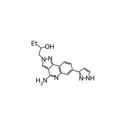 CCC(O)Cn1cc2c(N)nc3cc(-c4cc[nH]n4)ccc3c2n1